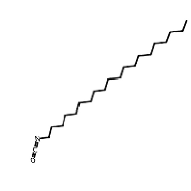 CCCCCCCCCCCCCCCCCCCCN=C=O